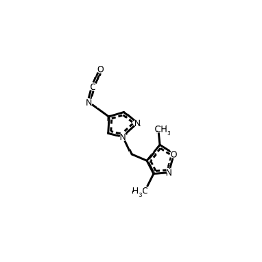 Cc1noc(C)c1Cn1cc(N=C=O)cn1